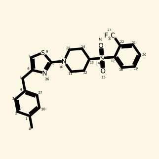 Cc1ccc(Cc2csc(N3CCC(S(=O)(=O)c4ccccc4C(F)(F)F)CC3)n2)cc1